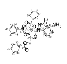 C[C@]1(OC(=O)c2ccccc2)C(n2nc(I)c3c(N)ncnc32)O[C@H](COC(=O)c2ccccc2)[C@H]1OC(=O)c1ccccc1